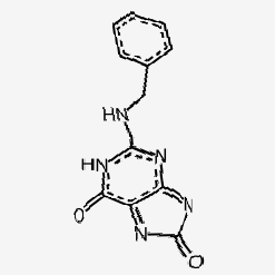 O=C1N=c2nc(NCc3ccccc3)[nH]c(=O)c2=N1